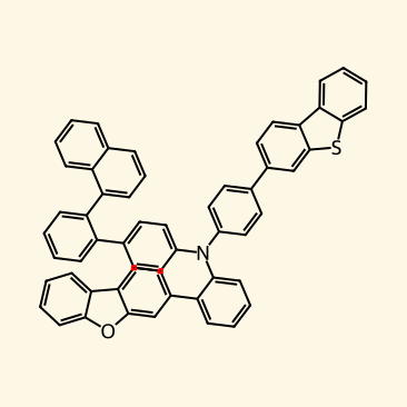 c1ccc(-c2cccc3ccccc23)c(-c2ccc(N(c3ccc(-c4ccc5c(c4)sc4ccccc45)cc3)c3ccccc3-c3ccc4c(c3)oc3ccccc34)cc2)c1